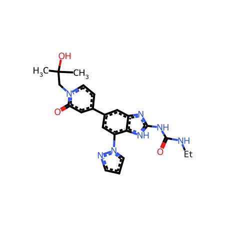 CCNC(=O)Nc1nc2cc(-c3ccn(CC(C)(C)O)c(=O)c3)cc(-n3cccn3)c2[nH]1